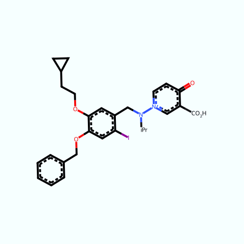 CC(C)N(Cc1cc(OCCC2CC2)c(OCc2ccccc2)cc1I)n1ccc(=O)c(C(=O)O)c1